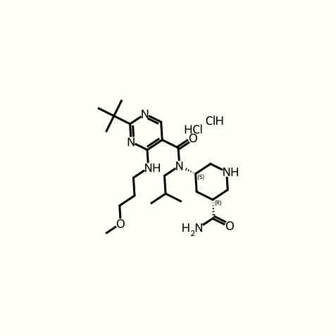 COCCCNc1nc(C(C)(C)C)ncc1C(=O)N(CC(C)C)[C@@H]1CNC[C@H](C(N)=O)C1.Cl.Cl